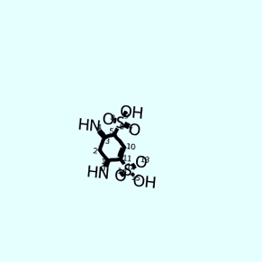 N=C1CC(=N)C(S(=O)(=O)O)C=C1S(=O)(=O)O